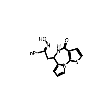 CCCC(CC1NC(=O)c2ccsc2-n2cccc21)=NO